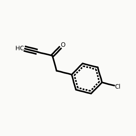 C#CC(=O)Cc1ccc(Cl)cc1